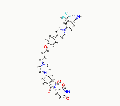 N#Cc1ccc(N2CCC(c3ccc(OCCCCN4CCN(c5ccc6c(c5)C(=O)N(C5CCC(=O)NC5=O)C6=O)CC4)cc3)CC2)cc1C(F)(F)F